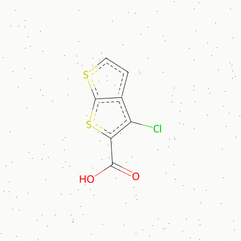 O=C(O)c1sc2sccc2c1Cl